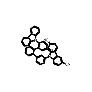 N#Cc1ccc(-n2c3ccccc3c3ccccc32)c(-c2ccccc2-c2cccc(-n3c4ccc(C#N)cc4c4ccc(C#N)cc43)c2)c1